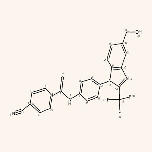 N#Cc1ccc(C(=O)Nc2ccc(-n3c(C(F)(F)F)nc4cc(CO)ccc43)cc2)cc1